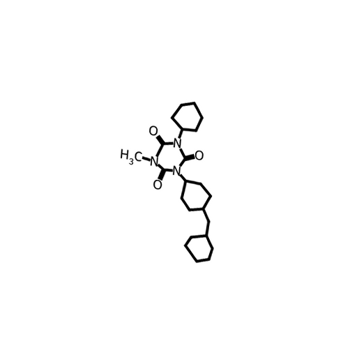 Cn1c(=O)n(C2CCCCC2)c(=O)n(C2CCC(CC3CCCCC3)CC2)c1=O